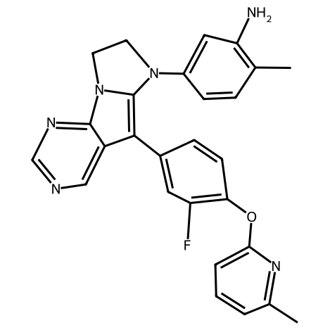 Cc1cccc(Oc2ccc(-c3c4n(c5ncncc35)CCN4c3ccc(C)c(N)c3)cc2F)n1